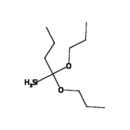 CCCOC([SiH3])(CCC)OCCC